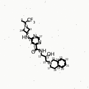 C[C@H](N1CC(Nc2cc(C(=O)NC[C@H](O)CN3CCc4ccccc4C3)ncn2)C1)C(F)(F)F